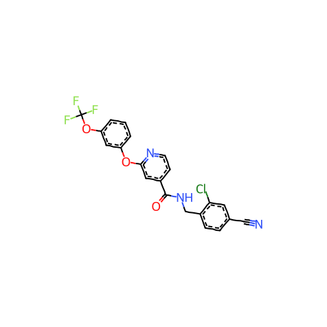 N#Cc1ccc(CNC(=O)c2ccnc(Oc3cccc(OC(F)(F)F)c3)c2)c(Cl)c1